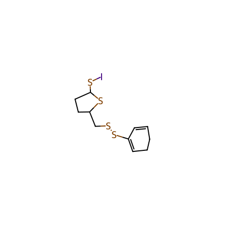 ISC1CCC(CSSC2=CCCC=C2)S1